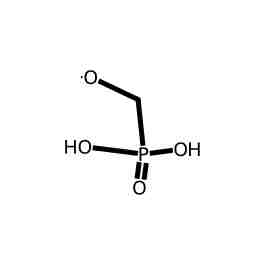 [O]CP(=O)(O)O